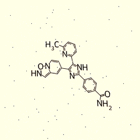 Cc1cccc(-c2[nH]c(-c3ccc(C(N)=O)cc3)nc2C2=CC3=CNON3C=C2)n1